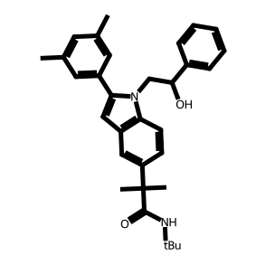 Cc1cc(C)cc(-c2cc3cc(C(C)(C)C(=O)NC(C)(C)C)ccc3n2CC(O)c2ccccc2)c1